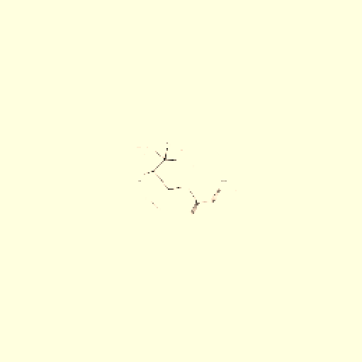 C=CC(=O)OCC(C)C(C)(C)N.CC(=O)O